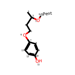 CCCCCOC(C)CCOc1ccc(O)cc1